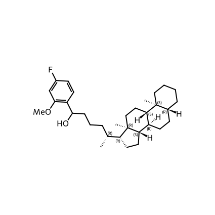 COc1cc(F)ccc1C(O)CCC[C@@H](C)[C@H]1CC[C@H]2[C@@H]3CC[C@H]4CCCC[C@]4(C)[C@H]3CC[C@]12C